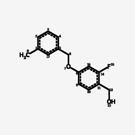 Cc1cccc(COc2ccc(CO)c(F)c2)c1